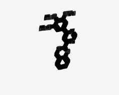 COc1cc(-c2cc(C3OCc4ccccc4O3)ncn2)cc(OC)c1OC